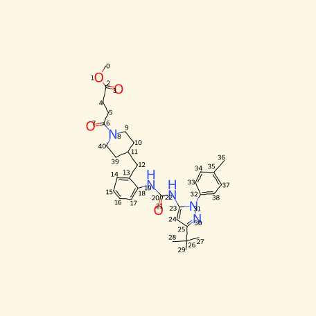 COC(=O)CCC(=O)N1CCC(Cc2ccccc2NC(=O)Nc2cc(C(C)(C)C)nn2-c2ccc(C)cc2)CC1